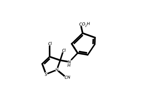 N#CN1SC=C(Cl)C1(Cl)Nc1cccc(C(=O)O)c1